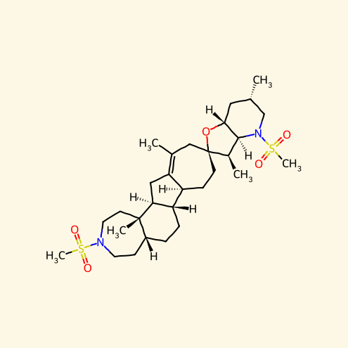 CC1=C2C[C@H]3[C@@H](CC[C@@H]4CCN(S(C)(=O)=O)CC[C@@]43C)[C@@H]2CC[C@@]2(C1)O[C@@H]1C[C@H](C)CN(S(C)(=O)=O)[C@H]1[C@H]2C